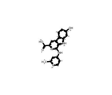 Cc1cc(Nc2nc(C(=O)O)cc3c2[nH]c2cc(O)ccc23)ccn1